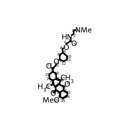 CNCCNC(=O)COCC1CCCC(OCC(=O)C2CCc3c(C)c4c(c(C)c3C2)C(=O)c2cccc(OC)c2C4=O)C1